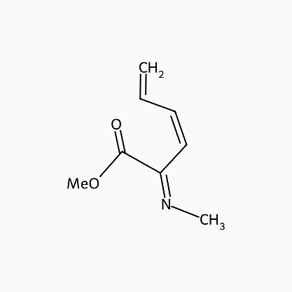 C=C/C=C\C(=N/C)C(=O)OC